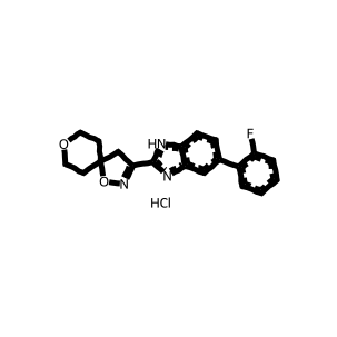 Cl.Fc1ccccc1-c1ccc2[nH]c(C3=NOC4(CCOCC4)C3)nc2c1